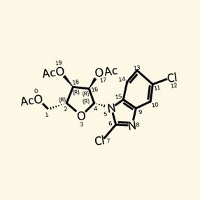 CC(=O)OC[C@H]1O[C@@H](n2c(Cl)nc3cc(Cl)ccc32)[C@H](OC(C)=O)[C@@H]1OC(C)=O